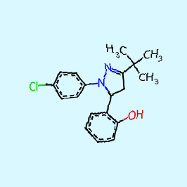 CC(C)(C)C1=NN(c2ccc(Cl)cc2)C(c2ccccc2O)C1